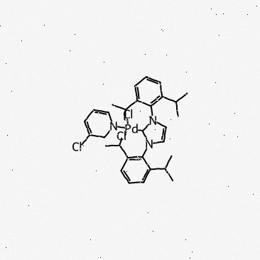 CC(C)c1cccc(C(C)C)c1N1C=CN(c2c(C(C)C)cccc2C(C)C)[CH]1[Pd]([Cl])([Cl])[N]1C=CC=C(Cl)C1